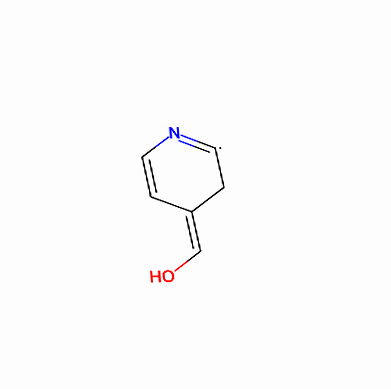 OC=C1C=CN=[C]C1